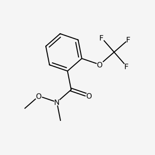 CON(C)C(=O)c1ccccc1OC(F)(F)F